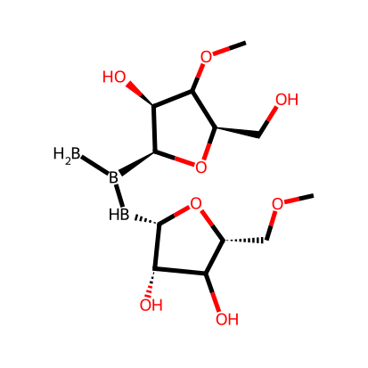 BB(B[C@@H]1O[C@H](COC)C(O)[C@@H]1O)[C@@H]1O[C@H](CO)C(OC)[C@@H]1O